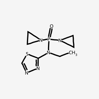 CCN(c1nncs1)P(=O)(N1CC1)N1CC1